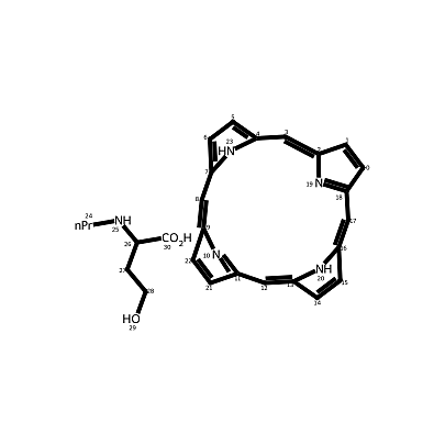 C1=Cc2cc3ccc(cc4nc(cc5ccc(cc1n2)[nH]5)C=C4)[nH]3.CCCNC(CCO)C(=O)O